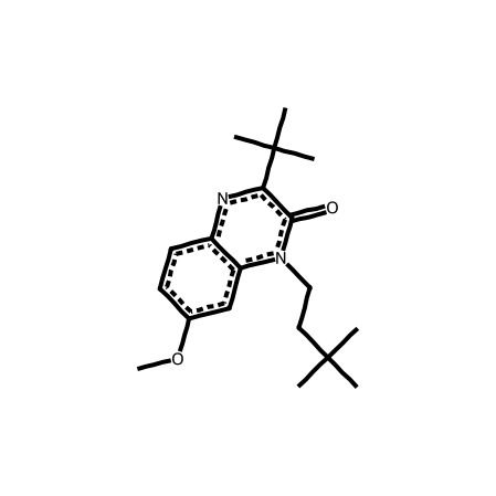 COc1ccc2nc(C(C)(C)C)c(=O)n(CCC(C)(C)C)c2c1